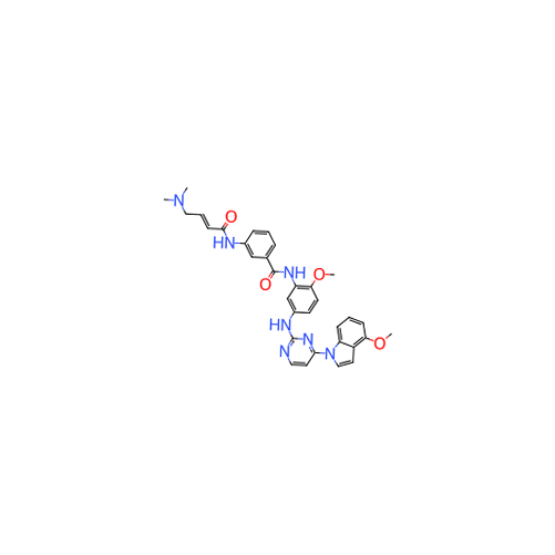 COc1ccc(Nc2nccc(-n3ccc4c(OC)cccc43)n2)cc1NC(=O)c1cccc(NC(=O)/C=C/CN(C)C)c1